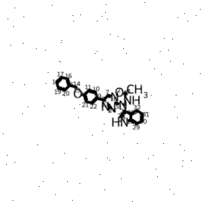 CC(=O)NN(c1ncc(-c2ccc(OCc3ccccc3)cc2)nn1)c1c[nH]c2ccccc12